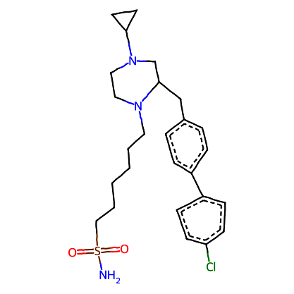 NS(=O)(=O)CCCCCCN1CCN(C2CC2)CC1Cc1ccc(-c2ccc(Cl)cc2)cc1